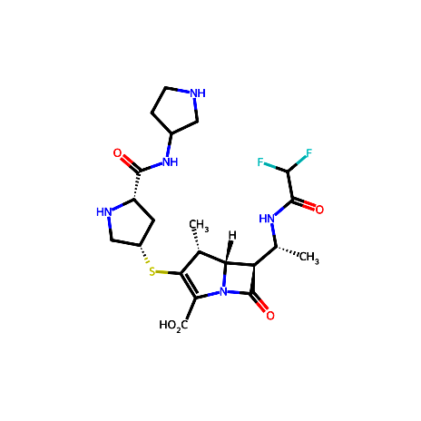 C[C@@H](NC(=O)C(F)F)[C@H]1C(=O)N2C(C(=O)O)=C(S[C@@H]3CN[C@H](C(=O)NC4CCNC4)C3)[C@H](C)[C@H]12